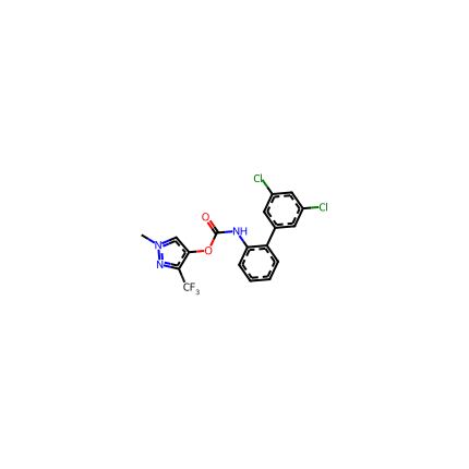 Cn1cc(OC(=O)Nc2ccccc2-c2cc(Cl)cc(Cl)c2)c(C(F)(F)F)n1